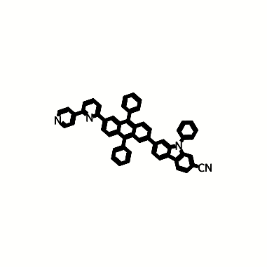 N#Cc1ccc2c3ccc(-c4ccc5c(-c6ccccc6)c6cc(-c7cccc(-c8ccncc8)n7)ccc6c(-c6ccccc6)c5c4)cc3n(-c3ccccc3)c2c1